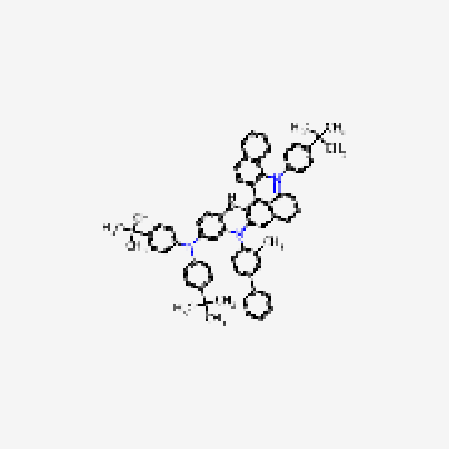 Cc1cc(-c2ccccc2)ccc1N1c2cc(N(c3ccc(C(C)(C)C)cc3)c3ccc(C(C)(C)C)cc3)ccc2Bc2c1cc1ccccc1c2-c1ccc2ccccc2c1Nc1ccc(C(C)(C)C)cc1